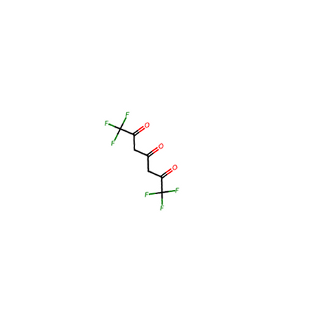 O=C(CC(=O)C(F)(F)F)CC(=O)C(F)(F)F